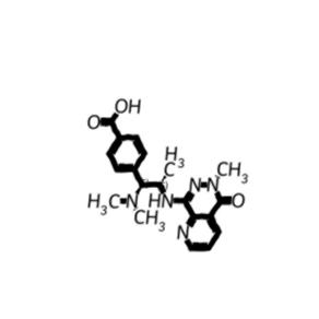 C[C@H](Nc1nn(C)c(=O)c2cccnc12)[C@H](c1ccc(C(=O)O)cc1)N(C)C